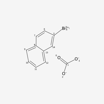 O=C([O-])[O-].[Bi+2][c]1ccc2ccccc2c1